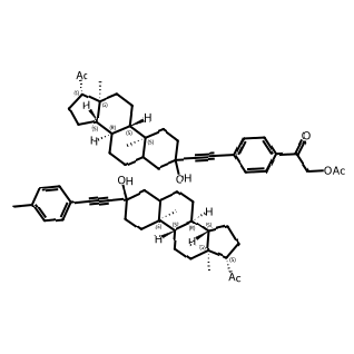 CC(=O)OCC(=O)c1ccc(C#CC2(O)CC[C@@]3(C)C(CC[C@H]4[C@@H]5CC[C@H](C(C)=O)[C@@]5(C)CC[C@@H]43)C2)cc1.CC(=O)[C@H]1CC[C@H]2[C@@H]3CCC4CC(O)(C#Cc5ccc(C)cc5)CC[C@]4(C)[C@H]3CC[C@]12C